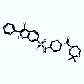 CC1(C)CN(C(=O)[C@H]2CC[C@H](NS(=O)(=O)c3ccc4c(Cl)c(-c5ccccc5)[nH]c4c3)CC2)CCO1